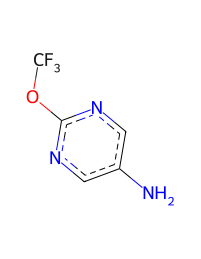 Nc1cnc(OC(F)(F)F)nc1